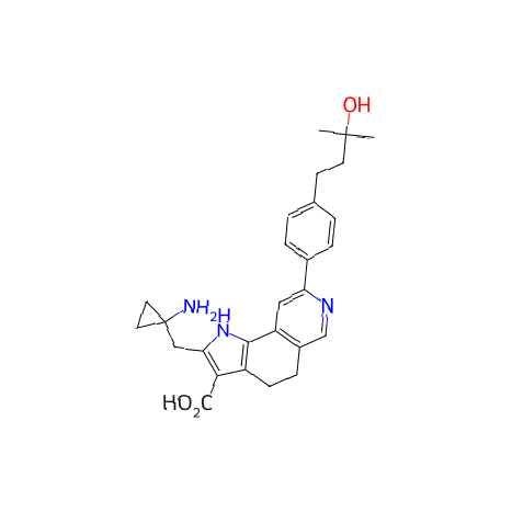 CC(C)(O)CCc1ccc(-c2cc3c(cn2)CCc2c-3[nH]c(CC3(N)CC3)c2C(=O)O)cc1